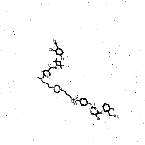 CN(CCCN1CCN(CCCNS(=O)(=O)c2ccc(Nc3ncc(Br)c(Nc4cccc(F)c4C(N)=O)n3)cc2)CC1)c1ncc(C(=O)N[C@H]2C(C)(C)[C@H](Oc3ccc(C#N)c(Cl)c3)C2(C)C)cn1